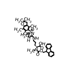 CN/C(=N\S(=O)(=O)c1c(C)c(C)c2c(c1C)CC(C)(C)O2)NCCC[C@@H](C(=O)O)N(C)C(=O)OCC1c2ccccc2-c2ccccc21